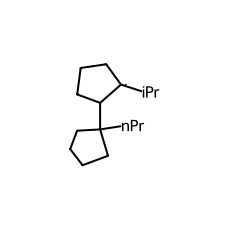 CCCC1(C2CCC[C]2C(C)C)CCCC1